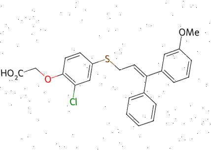 COc1cccc(C(=CCSc2ccc(OCC(=O)O)c(Cl)c2)c2ccccc2)c1